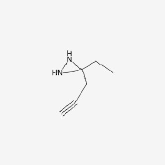 C#CCC1(CC)NN1